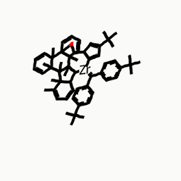 CCC1C=C(C(C)(C)C)C=[C]1[Zr](=[C](c1ccc(C(C)(C)C)cc1)c1ccc(C(C)(C)C)cc1)[CH]1C2C=CC=C(C)C2(C)C2(C)C3(C)C=CC=CC3(C)C3(C)C=CC=CC3(C)C12C